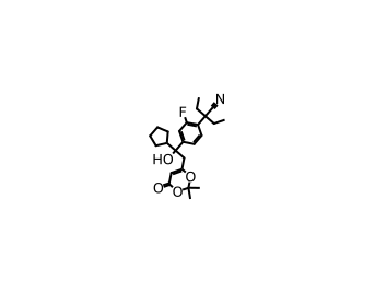 CCC(C#N)(CC)c1ccc(C(O)(CC2=CC(=O)OC(C)(C)O2)C2CCCC2)cc1F